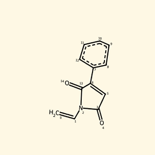 C=CN1C(=O)C=C(c2ccccc2)C1=O